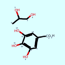 CC(O)CO.O=C(O)c1cc(O)c(O)c(O)c1